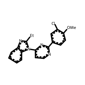 CCc1nc2ccccc2n1-c1ccnc(-c2ccc(OC)c(Cl)c2)n1